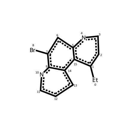 CCc1ccnc2cc(Br)c3ncccc3c12